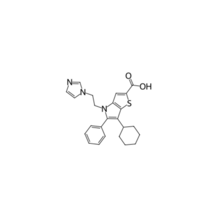 O=C(O)c1cc2c(s1)c(C1CCCCC1)c(-c1ccccc1)n2CCn1ccnc1